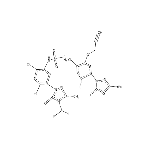 C#CCOc1cc(-n2nc(C(C)(C)C)oc2=O)c(Cl)cc1Cl.Cc1nn(-c2cc(NS(C)(=O)=O)c(Cl)cc2Cl)c(=O)n1C(F)F